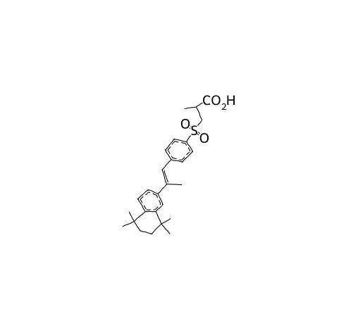 C/C(=C\c1ccc(S(=O)(=O)CC(C)C(=O)O)cc1)c1ccc2c(c1)C(C)(C)CCC2(C)C